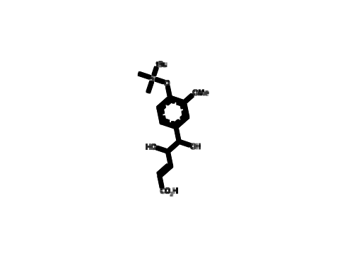 COc1cc(C(O)C(O)/C=C/C(=O)O)ccc1O[Si](C)(C)C(C)(C)C